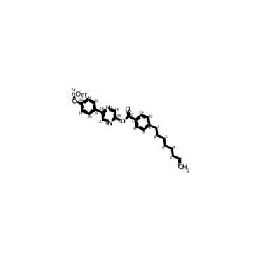 C=CCCCCCCc1ccc(C(=O)Oc2cnc(-c3ccc(OCCCCCCCC)cc3)cn2)cc1